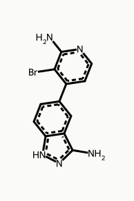 Nc1nccc(-c2ccc3[nH]nc(N)c3c2)c1Br